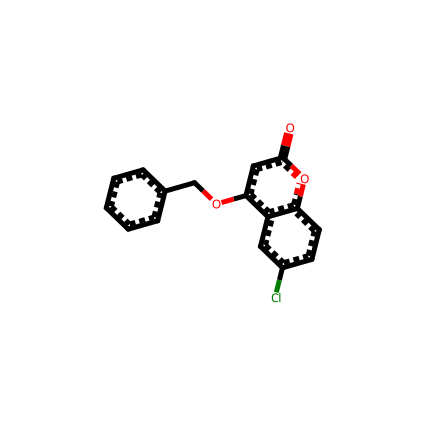 O=c1cc(OCc2ccccc2)c2cc(Cl)ccc2o1